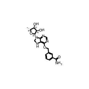 C[C@H]1O[C@@H](N2CNc3c(OCc4cccc(C(N)=O)c4)ncnc32)[C@H](O)[C@@H]1O